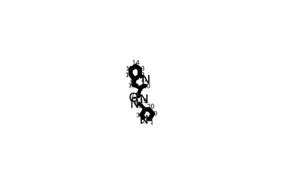 c1cncc(-c2noc(-c3cnc4ccccc4c3)n2)c1